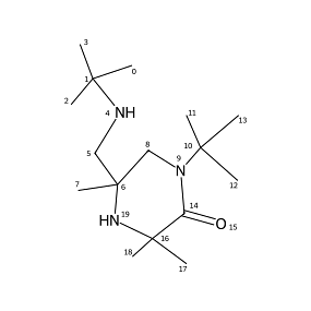 CC(C)(C)NCC1(C)CN(C(C)(C)C)C(=O)C(C)(C)N1